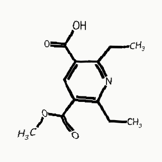 CCc1nc(CC)c(C(=O)OC)cc1C(=O)O